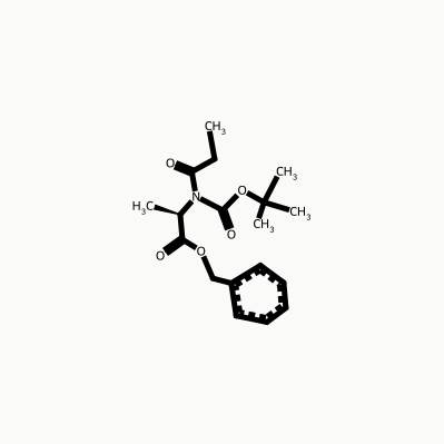 CCC(=O)N(C(=O)OC(C)(C)C)[C@H](C)C(=O)OCc1ccccc1